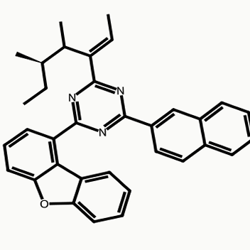 C/C=C(/c1nc(-c2ccc3ccccc3c2)nc(-c2cccc3oc4ccccc4c23)n1)C(C)[C@H](C)CC